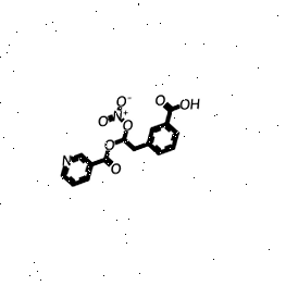 O=C(O)c1cccc(CC(OC(=O)c2cccnc2)O[N+](=O)[O-])c1